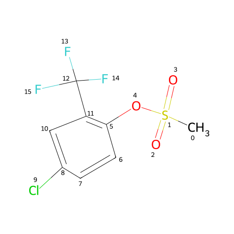 CS(=O)(=O)Oc1ccc(Cl)cc1C(F)(F)F